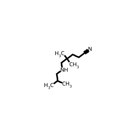 CC(C)CNCC(C)(C)CCC#N